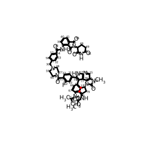 COC(=O)N[C@@H]1CC[C@@H](n2c(=O)n(C)c3cnc4[nH]c(-c5ccc(C(=O)N6CCN(Cc7ccc(C(=O)Nc8cccc9c8C(=O)N(C8CCC(=O)NC8=O)C9=O)cc7)CC6)c(F)c5)c(-c5ccc6c(cnn6C(C)C)c5)c4c32)C1